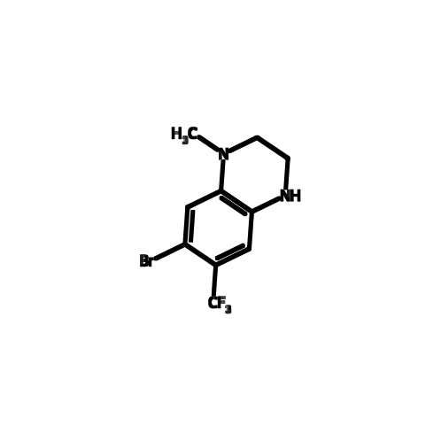 CN1CCNc2cc(C(F)(F)F)c(Br)cc21